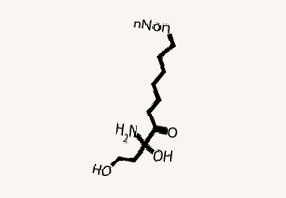 CCCCCCCCCCCCCCCC(=O)C(N)(O)CCO